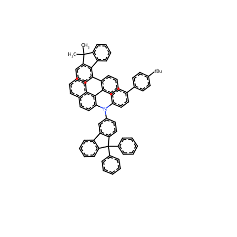 CC(C)(C)c1ccc(-c2ccc(N(c3ccc4c(c3)-c3ccccc3C4(c3ccccc3)c3ccccc3)c3ccc4ccccc4c3-c3ccccc3-c3cccc4c3-c3ccccc3C4(C)C)cc2)cc1